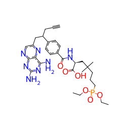 C#CCC(Cc1cnc2nc(N)nc(N)c2n1)c1ccc(C(=O)N[C@@H](CC(C)(C)CCCP(=O)(OCC)OCC)C(=O)O)cc1